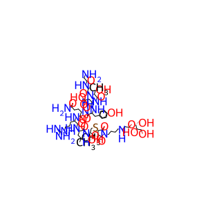 CC(C)CC(NC(=O)C(CCCNC(=N)N)NC(=O)C(CCC(N)=O)NC(=O)C(Cc1ccc(O)cc1)NC(=O)C(CC(=O)O)NC(=O)C(CO)NC(=O)C(C)NC(=O)CN)C(=O)NC(CSC1CC(=O)N(CCCCNCCO[C@H](CO)[C@@H](O)CO)C1=O)C(=O)O